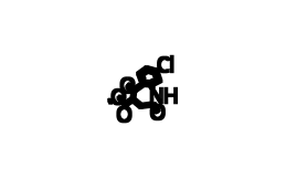 COC(=O)C1CC(=O)Nc2cc(Cl)ccc2C1=O